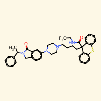 CC(c1ccccc1)N1Cc2ccc(N3CCN(CCCCC4(C(=O)NCC(F)(F)F)c5ccccc5Sc5ccccc54)CC3)cc2C1=O